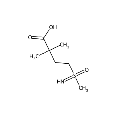 CC(C)(CCS(C)(=N)=O)C(=O)O